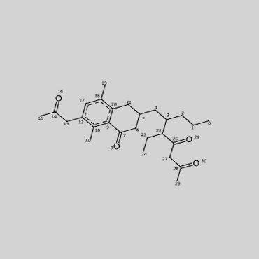 CCCC(CC1CC(=O)c2c(C)c(CC(C)=O)cc(C)c2C1)C(CC)C(=O)CC(C)=O